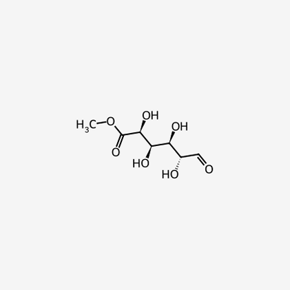 COC(=O)[C@@H](O)[C@H](O)[C@@H](O)[C@@H](O)C=O